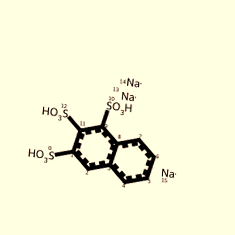 O=S(=O)(O)c1cc2ccccc2c(S(=O)(=O)O)c1S(=O)(=O)O.[Na].[Na].[Na]